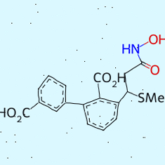 CSC(CC(=O)NO)c1cccc(-c2cccc(C(=O)O)c2)c1C(=O)O